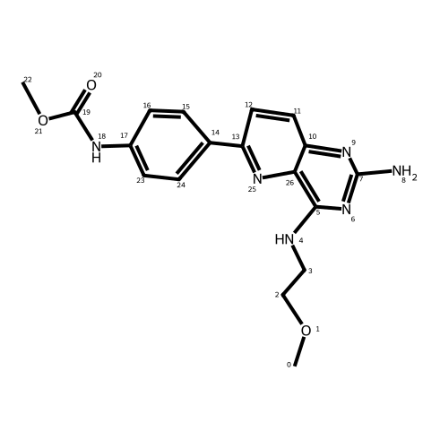 COCCNc1nc(N)nc2ccc(-c3ccc(NC(=O)OC)cc3)nc12